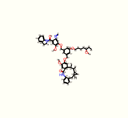 C=Nc1cc(OCc2cc(COc3cc4c(cc3OC)C(=O)Nc3ccccc3C[C@@H]3CC3C(C)C4C)cc(OCCCCC(CC)OC)c2)c(OC)cc1C(=O)N1CCc2ccccc21